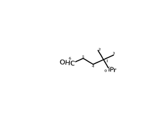 CC(C)C(C)(C)CCC=O